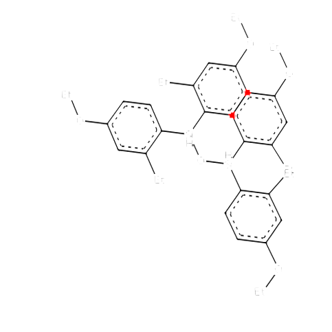 CCOc1ccc([SiH](O[SiH](c2ccc(OCC)cc2CC)c2ccc(OCC)cc2CC)c2ccc(OCC)cc2CC)c(CC)c1